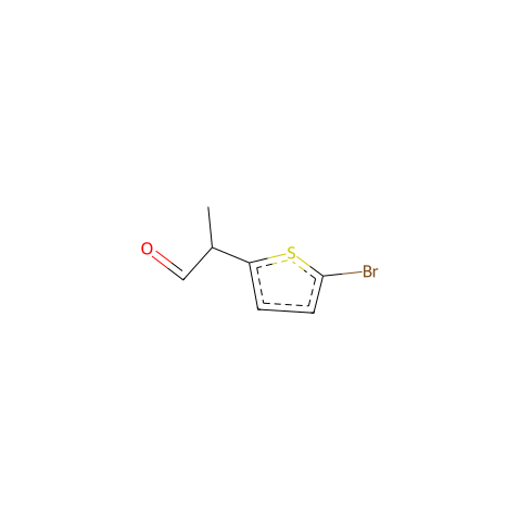 CC(C=O)c1ccc(Br)s1